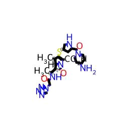 C[C@@H](NC(=O)Cn1cnnn1)[C@H]1C(=O)N2C(C(=O)O)=C(S[C@@H]3CNC(C(=O)N4CCC(N)CC4)C3)[C@H](C)[C@H]12